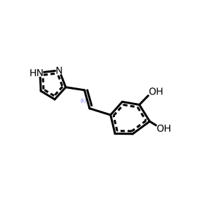 Oc1ccc(/C=C/c2cc[nH]n2)cc1O